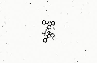 CC(C1CCCCC1)C(OC(=O)OOC(=O)OC(C(C)C1CCCCC1)C(C)C1CCCCC1)C(C)C1CCCCC1